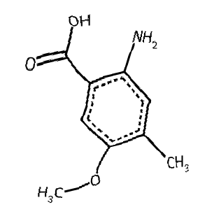 COc1cc(C(=O)O)c(N)cc1C